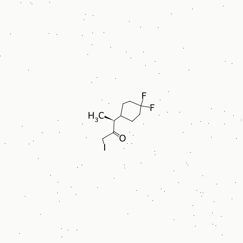 C[C@H](C(=O)CI)C1CCC(F)(F)CC1